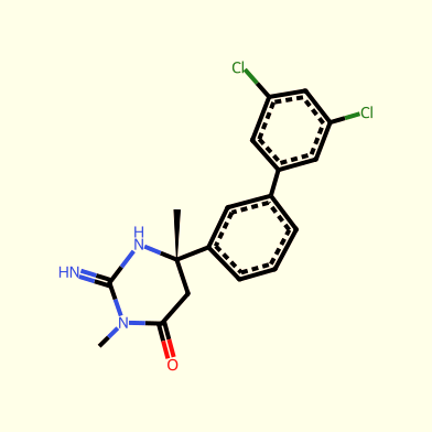 CN1C(=N)N[C@](C)(c2cccc(-c3cc(Cl)cc(Cl)c3)c2)CC1=O